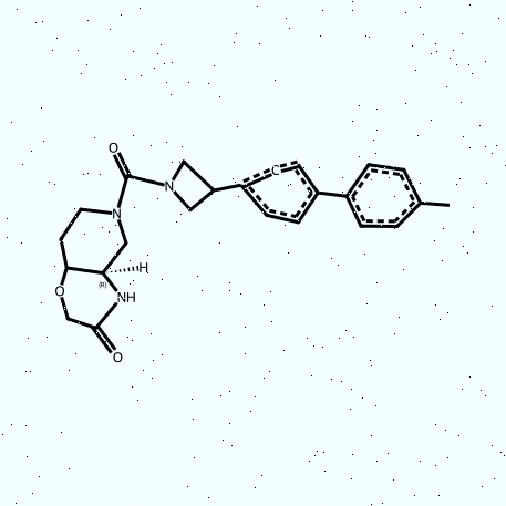 Cc1ccc(-c2ccc(C3CN(C(=O)N4CCC5OCC(=O)N[C@@H]5C4)C3)cc2)cc1